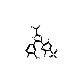 Cc1ccc(-c2[nH]c(C(F)F)nc2-c2cc(F)c(S(C)(=O)=O)cc2F)cc1C#N